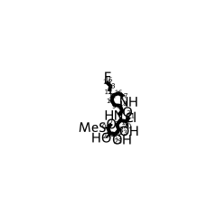 CS[C@H]1O[C@H]([C@H](NC(=O)C2CC[C@H](CCCF)CCN2)[C@H](C)Cl)[C@H](O)[C@H](O)[C@H]1O